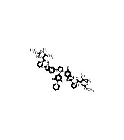 COC(=O)N[C@H](C(=O)N1CCC[C@H]1c1nc2ccc([C@H]3CC[C@H](c4cc5[nH]c([C@@H]6CCCN6C(=O)[C@@H](NC(=O)OC)C(C)C)nc5cc4F)N3c3cc(F)c(N4CCCCC4)c(F)c3)cc2[nH]1)C(C)C